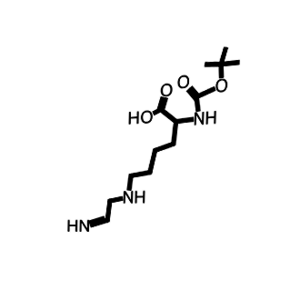 CC(C)(C)OC(=O)NC(CCCCNCC=N)C(=O)O